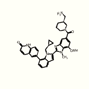 COc1cc(C(=O)N2CCC[C@@H](CN)C2)cc2nc(-c3cc4cccc(-c5ccc6[nH]c(=O)ccc6c5)c4n3CC3CC3)n(C)c12